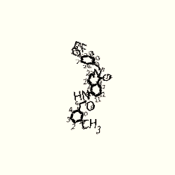 Cc1cccc(CC(=O)Nc2cccc3c(=O)n(Cc4ccc(OC(F)(F)F)cc4)ccc23)c1